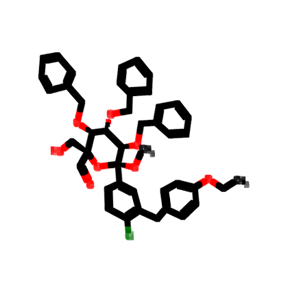 CCOc1ccc(Cc2cc([C@]3(OC)O[C@@](C=O)(CO)[C@@H](OCc4ccccc4)[C@H](OCc4ccccc4)[C@H]3OCc3ccccc3)ccc2Cl)cc1